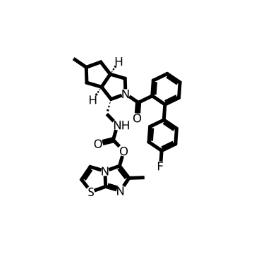 Cc1nc2sccn2c1OC(=O)NC[C@@H]1[C@H]2CC(C)C[C@H]2CN1C(=O)c1ccccc1-c1ccc(F)cc1